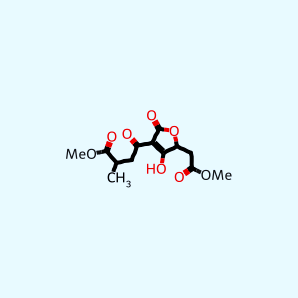 COC(=O)CC1OC(=O)C(C(=O)CC(C)C(=O)OC)=C1O